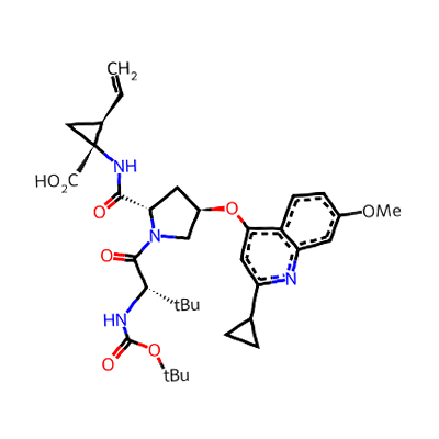 C=C[C@@H]1C[C@]1(NC(=O)[C@@H]1C[C@@H](Oc2cc(C3CC3)nc3cc(OC)ccc23)CN1C(=O)[C@@H](NC(=O)OC(C)(C)C)C(C)(C)C)C(=O)O